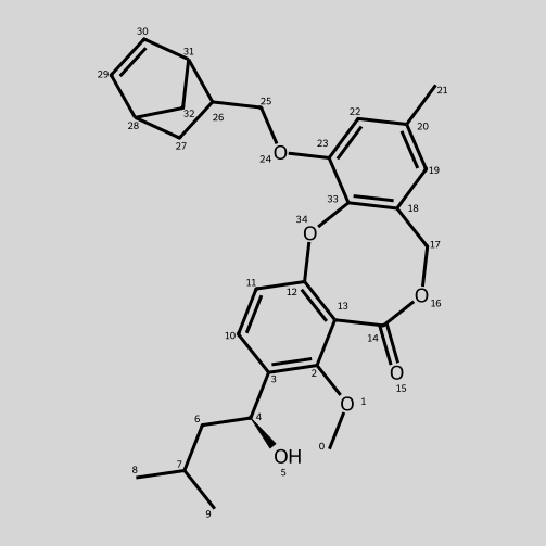 COc1c([C@@H](O)CC(C)C)ccc2c1C(=O)OCc1cc(C)cc(OCC3CC4C=CC3C4)c1O2